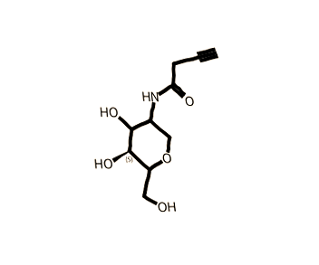 C#CCC(=O)NC1COC(CO)[C@@H](O)C1O